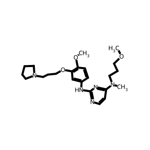 COCCCN(C)c1ccnc(Nc2ccc(OC)c(OCCCN3CCCC3)c2)n1